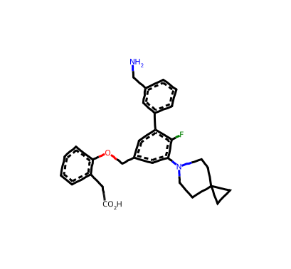 NCc1cccc(-c2cc(COc3ccccc3CC(=O)O)cc(N3CCC4(CC3)CC4)c2F)c1